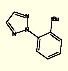 CC(C)(C)c1ccccc1-n1nccn1